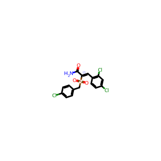 NC(=O)/C(=C/c1ccc(Cl)cc1Cl)S(=O)(=O)Cc1ccc(Cl)cc1